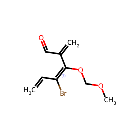 C=C/C(Br)=C(/OCOC)C(=C)C=O